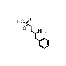 N[C@H](CCS(=O)(=O)O)Cc1ccccc1